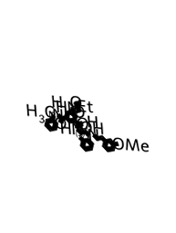 CCS(=O)(=O)Nc1cc(C(=O)N[C@@H](Cc2ccccc2)[C@H](O)CNCCc2cccc(OC)c2)cc(C(=O)N[C@H](C)c2ccccc2)c1